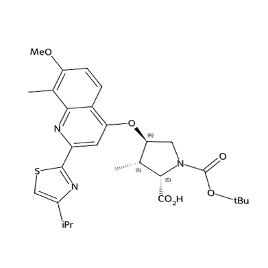 COc1ccc2c(O[C@H]3CN(C(=O)OC(C)(C)C)[C@H](C(=O)O)[C@@H]3C)cc(-c3nc(C(C)C)cs3)nc2c1C